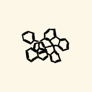 c1ccc(N(c2cccc3c2C2(c4ccccc4-c4ccccc42)c2ccccc2-3)c2cccc3ccccc23)cc1